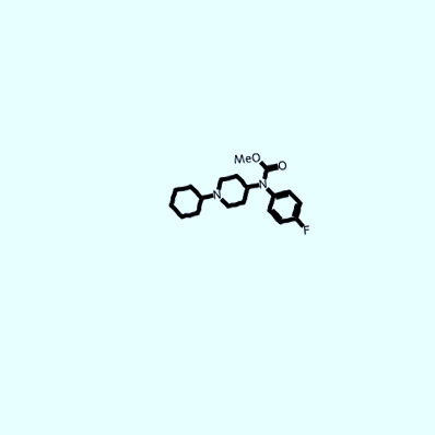 COC(=O)N(c1ccc(F)cc1)C1CCN(C2CCCCC2)CC1